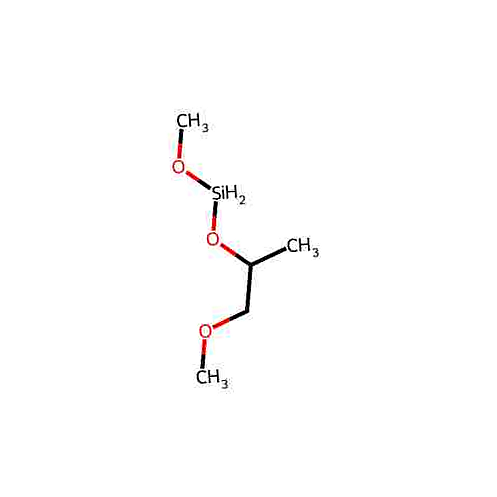 COCC(C)O[SiH2]OC